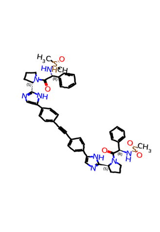 CS(=O)(=O)N[C@@H](C(=O)N1CCC[C@H]1c1ncc(-c2ccc(C#Cc3ccc(-c4cnc([C@@H]5CCCN5C(=O)[C@H](N[SH](C)(C)=O)c5ccccc5)[nH]4)cc3)cc2)[nH]1)c1ccccc1